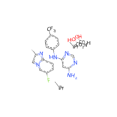 CC(C)C.CC(C)C.Cc1cn2cc(F)ccc2n1.Nc1cc(Nc2ccc(C(F)(F)F)cc2)ncn1.O=C(O)O.O=C(O)O